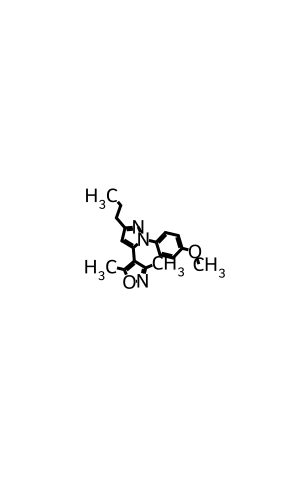 CCCc1cc(-c2c(C)noc2C)n(-c2ccc(OC)cc2)n1